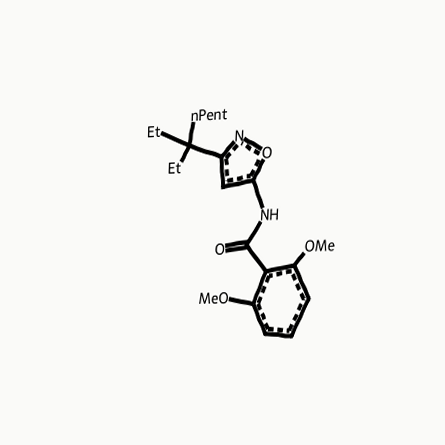 CCCCCC(CC)(CC)c1cc(NC(=O)c2c(OC)cccc2OC)on1